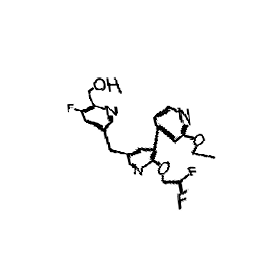 CCOc1cc(-c2cc(Cc3cnc(CO)c(F)c3)cnc2OCC(F)F)ccn1